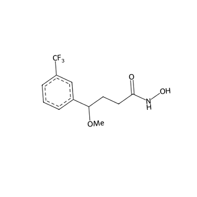 COC(CCC(=O)NO)c1cccc(C(F)(F)F)c1